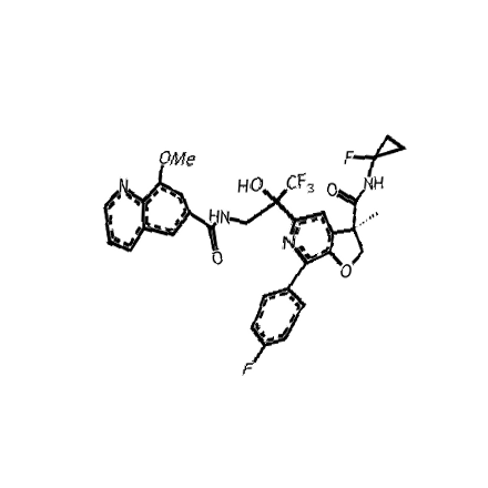 COc1cc(C(=O)NCC(O)(c2cc3c(c(-c4ccc(F)cc4)n2)OC[C@]3(C)C(=O)NC2(F)CC2)C(F)(F)F)cc2cccnc12